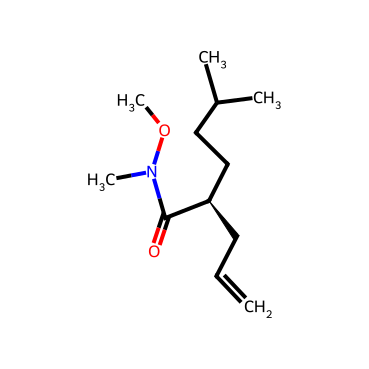 C=CC[C@H](CCC(C)C)C(=O)N(C)OC